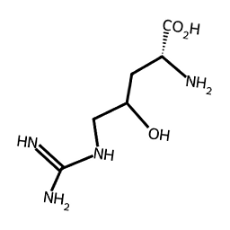 N=C(N)NCC(O)C[C@@H](N)C(=O)O